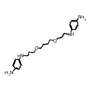 Nc1ccc(NCCCOCCCCOCCCNc2ccc(N)cc2)cc1